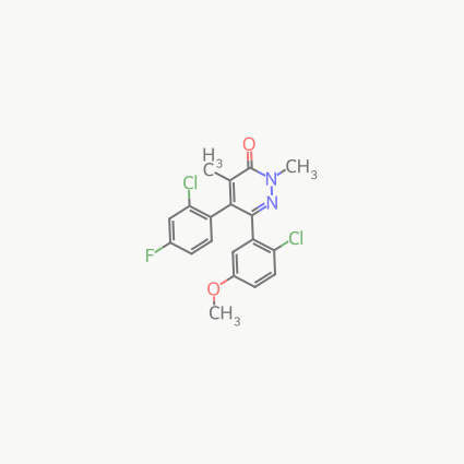 COc1ccc(Cl)c(-c2nn(C)c(=O)c(C)c2-c2ccc(F)cc2Cl)c1